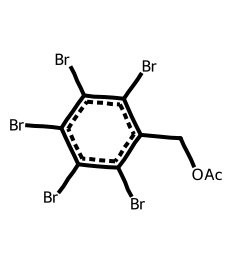 CC(=O)OCc1c(Br)c(Br)c(Br)c(Br)c1Br